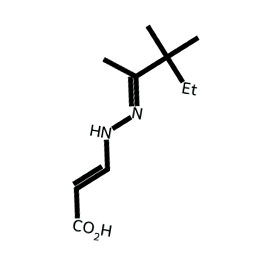 CCC(C)(C)C(C)=NNC=CC(=O)O